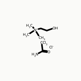 C[N+](C)(C)CCO.NC(=O)C(Cl)(Cl)Cl.[Cl-]